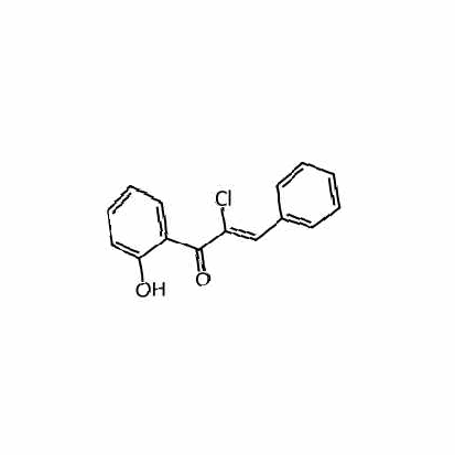 O=C(C(Cl)=Cc1ccccc1)c1ccccc1O